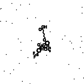 [2H]C(C)(C)N(Cc1ccccc1OCCCCCC(=O)O)C(=O)c1ccc(SC(F)F)cc1